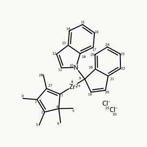 CC1=C(C)C(C)(C)[C]([Zr+2][C]2(n3ccc4ccccc43)C=Cc3ccccc32)=C1C.[Cl-].[Cl-]